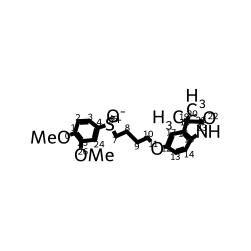 COc1ccc([S+]([O-])CCCCOc2ccc3c(c2)C(C)(C)C(=O)N3)cc1OC